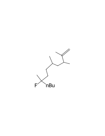 C=C(C)C(C)CC(C)CCC(C)(F)CCCC